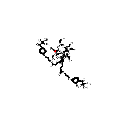 CC(C)C[Si]12O[Si]3(CCCN(CCC(=O)OCCOc4ccc(C(=O)C(C)(C)O)cc4)CCC(=O)OCCOc4ccc(C(=O)C(C)(C)O)cc4)O[Si]4(CC(C)C)O[Si](CC(C)C)(O1)O[Si]1(CC(C)C)O[Si](CC(C)C)(O2)O[Si](CC(C)C)(O3)O[Si](CC(C)C)(O4)O1